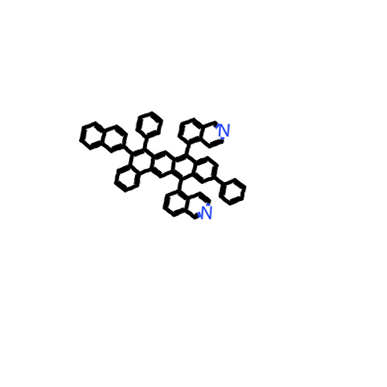 c1ccc(-c2ccc3c(-c4cccc5cnccc45)c4cc5c(-c6ccccc6)c(-c6ccc7ccccc7c6)c6ccccc6c5cc4c(-c4cccc5cnccc45)c3c2)cc1